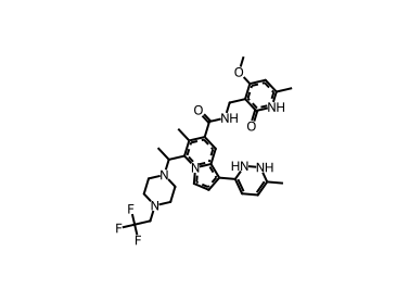 COc1cc(C)[nH]c(=O)c1CNC(=O)c1cc2c(C3=CC=C(C)NN3)ccn2c(C(C)N2CCN(CC(F)(F)F)CC2)c1C